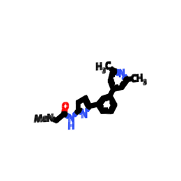 CNCC(=O)NC1=NC(c2cccc(-c3cc(C)nc(C)c3)c2)=CC1